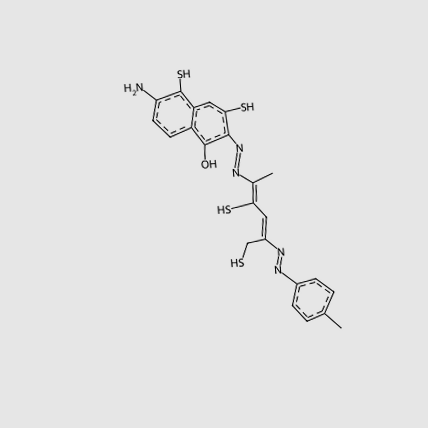 C/C(N=Nc1c(S)cc2c(S)c(N)ccc2c1O)=C(S)\C=C(/CS)N=Nc1ccc(C)cc1